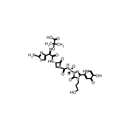 CC(C)(O/N=C(\C(=O)N[C@H]1CN(C(=O)NS(=O)(=O)n2nc(-c3cc(=O)c(O)c[nH]3)n(CCCO)c2=O)C1=O)c1csc(N)n1)C(=O)O